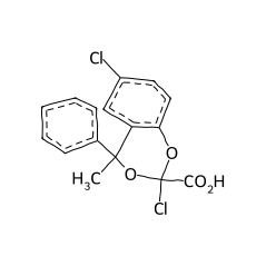 CC1(c2ccccc2)OC(Cl)(C(=O)O)Oc2ccc(Cl)cc21